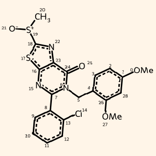 COc1ccc(Cn2c(-c3ccccc3Cl)nc3sc([S+](C)[O-])nc3c2=O)c(OC)c1